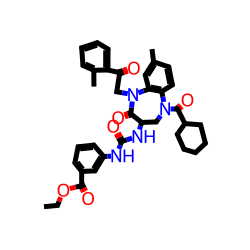 CCOC(=O)c1cccc(NC(=O)NC2CN(C(=O)C3CCCCC3)c3ccc(C)cc3N(CC(=O)c3ccccc3C)C2=O)c1